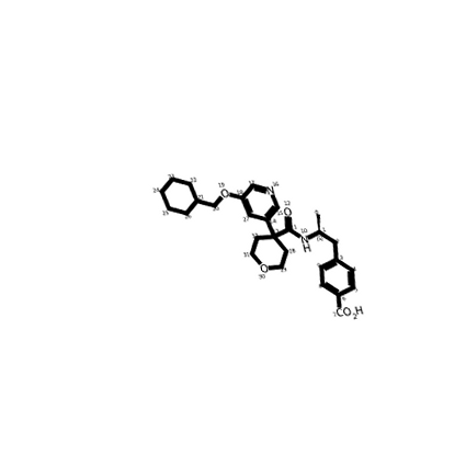 C[C@@H](Cc1ccc(C(=O)O)cc1)NC(=O)C1(c2cncc(OCC3CCCCC3)c2)CCOCC1